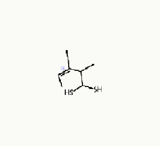 C/C=C(/C)C(C)C(S)S